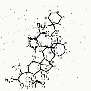 CC(C)[C@@H](C)[C@@]1(C)CC[C@]2(C)[C@H]3CC[C@@H]4[C@@]5(COC[C@@]4(C)[C@@H](OCC4(N)CCCCC4)[C@H](n4ncnc4C(N)=O)C5)C3=CC[C@@]2(C)[C@@H]1C(=O)O